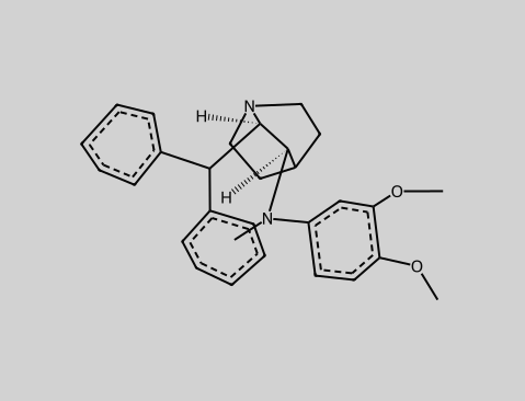 COc1ccc(N(C)[C@@H]2C3CCN(CC3)[C@@H]2C(c2ccccc2)c2ccccc2)cc1OC